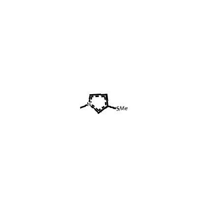 CSc1ccn(C)c1